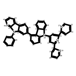 c1ccc(-n2c3cc(-c4cccc5c4c4ccccc4n5-c4cc(-c5ccccn5)nc(-c5ccccn5)c4)ccc3c3cccnc32)cc1